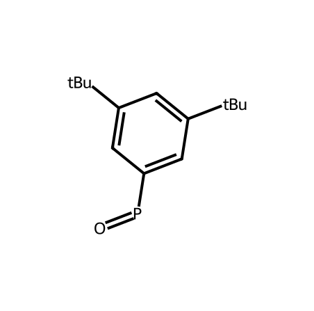 CC(C)(C)c1cc(P=O)cc(C(C)(C)C)c1